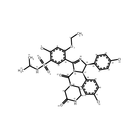 CCOc1cc(Cl)c(S(=O)(=O)NC(C)C)cc1C1=N[C@@H](c2ccc(Cl)cc2)[C@@H](c2ccc(Cl)cc2)N1C(=O)N1CCNC(=O)C1